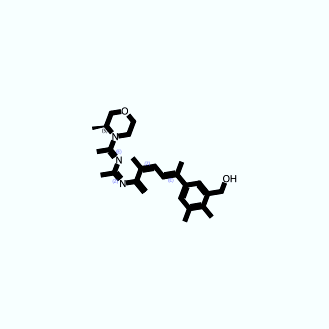 C=C(/N=C(C)\N=C(/C)N1CCOC[C@@H]1C)/C(C)=C\C=C(/C)c1cc(C)c(C)c(CO)c1